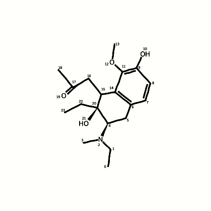 CCN(C)[C@@H]1Cc2ccc(O)c(OC)c2C(CC(C)=O)[C@@]1(O)CC